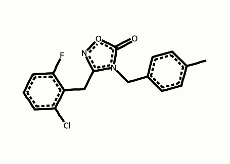 Cc1ccc(Cn2c(Cc3c(F)cccc3Cl)noc2=O)cc1